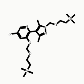 Cc1nn(COCC[Si](C)(C)C)c(C)c1-c1ncc(Br)cc1OCOCC[Si](C)(C)C